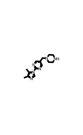 Cc1ncn(-c2ncc(CN3CCNCC3)cn2)c1C